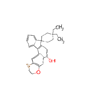 CCC1(CC)CCC2(CC1)c1ccccc1-c1c2cc(O)c2cc3c(cc12)SCCO3